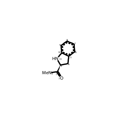 CNC(=O)[C@@H]1Cc2ccccc2N1